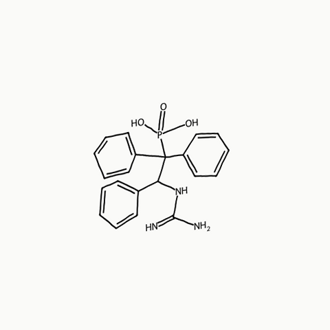 N=C(N)NC(c1ccccc1)C(c1ccccc1)(c1ccccc1)P(=O)(O)O